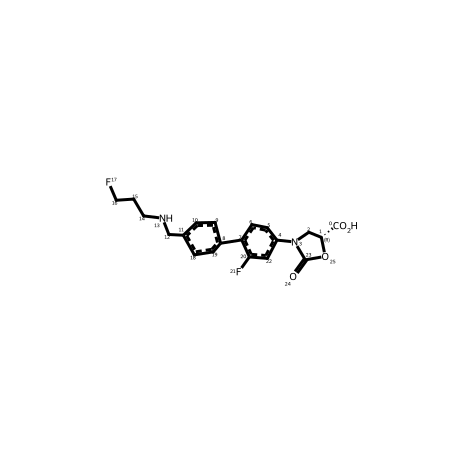 O=C(O)[C@H]1CN(c2ccc(-c3ccc(CNCCCF)cc3)c(F)c2)C(=O)O1